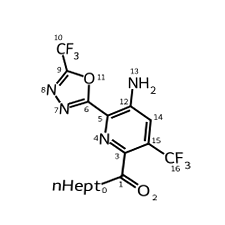 CCCCCCCC(=O)c1nc(-c2nnc(C(F)(F)F)o2)c(N)cc1C(F)(F)F